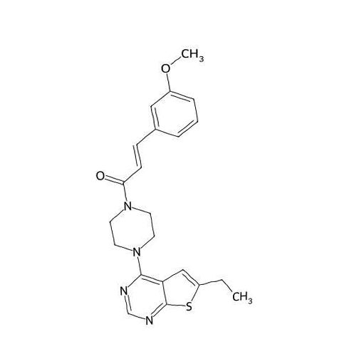 CCc1cc2c(N3CCN(C(=O)C=Cc4cccc(OC)c4)CC3)ncnc2s1